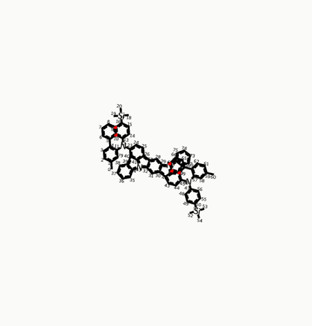 Cc1ccc(-c2ccccc2)c(N(c2ccc([Si](C)(C)C)cc2)c2ccc3c4cc5c(cc4n4c6ccccc6c2c34)c2ccc(N(c3ccc([Si](C)(C)C)cc3)c3cc(C)ccc3-c3ccccc3)c3c4ccccc4n5c23)c1